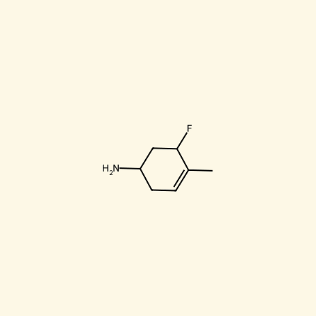 CC1=CCC(N)CC1F